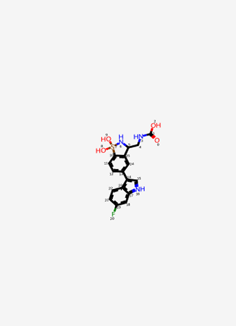 O=C(O)NCC1NS(O)(O)c2ccc(-c3c[nH]c4cc(F)ccc34)cc21